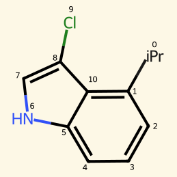 CC(C)c1cccc2[nH]cc(Cl)c12